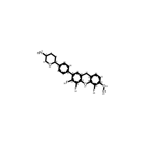 CCCC1CCC(c2ccc(-c3cc4c(c(F)c3F)Oc3c(ccc(OCC)c3F)C4)cc2)OC1